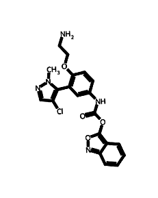 Cn1ncc(Cl)c1-c1cc(NC(=O)Oc2onc3ccccc23)ccc1OCCN